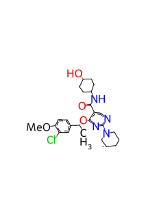 COc1ccc(C(C)Oc2nc(N3C[CH]CCC3)ncc2C(=O)NC2CCC(O)CC2)cc1Cl